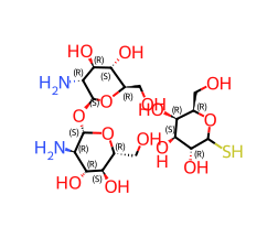 N[C@H]1[C@H](O[C@@H]2O[C@H](CO)[C@@H](O)[C@H](O)[C@H]2N)O[C@H](CO)[C@@H](O)[C@@H]1O.OC[C@H]1OC(S)[C@H](O)[C@@H](O)[C@H]1O